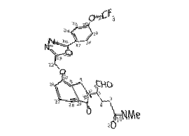 CNC(=O)CCC(C=O)N1Cc2c(OCc3nnc(-c4ccc(OC(F)(F)F)cc4)o3)cccc2C1=O